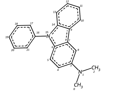 CN(C)c1ccc2c(c1)c1ccccc1n2-c1ccccc1